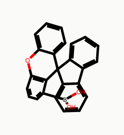 OB(O)c1cccc2c1C1(c3ccccc3O2)c2ccccc2-c2ccccc21